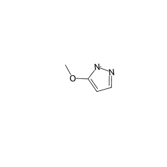 COC1=CC=N[N]1